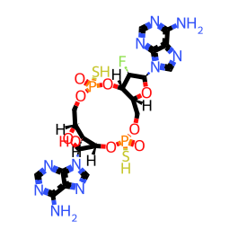 Nc1ncnc2c1ncn2[C@@H]1O[C@@H]2COP(=O)(S)O[C@H]3[C@@H](O)[C@@H](COP(=O)(S)O[C@@H]2[C@@H]1F)O[C@H]3n1cnc2c(N)ncnc21